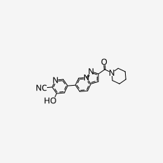 N#Cc1ncc(-c2ccc3cc(C(=O)N4CCCCC4)nn3c2)cc1O